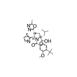 COc1cc(C(=O)N2[C@@H](c3nccs3)[C@H](c3nnc(C)o3)C[C@@]2(CC(C)C)C(=O)O)ccc1C(C)(C)C